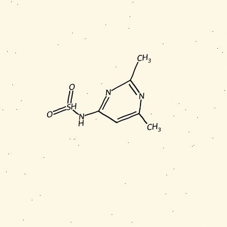 Cc1cc(N[SH](=O)=O)nc(C)n1